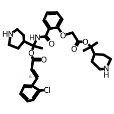 CC(C)(OC(=O)COc1ccccc1C(=O)NC(C)(OC(=O)/C=C/c1ccccc1Cl)C1CCNCC1)C1CCNCC1